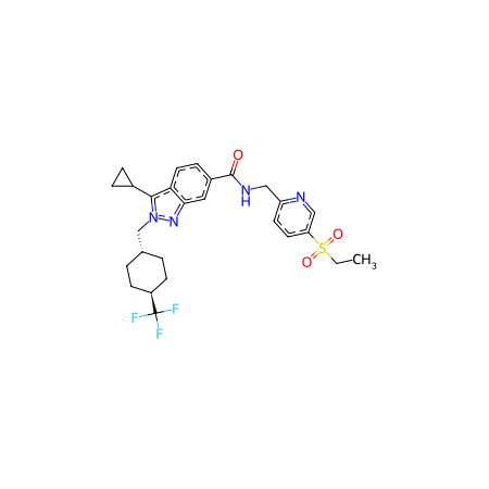 CCS(=O)(=O)c1ccc(CNC(=O)c2ccc3c(C4CC4)n(C[C@H]4CC[C@H](C(F)(F)F)CC4)nc3c2)nc1